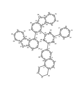 C1=Cc2c(ccc3cc(-c4nc(-c5ccccc5)nc(-c5c(-c6cccc7sc8ccccc8c67)ccc6oc7ccccc7c56)n4)ccc23)CC1